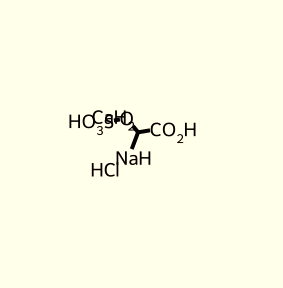 CC(OS(=O)(=O)O)C(=O)O.Cl.[CaH2].[NaH]